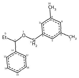 CCC(O[SiH2]c1cc(C)cc(C)c1)c1ccccc1